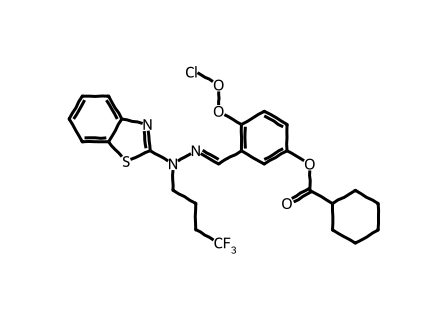 O=C(Oc1ccc(OOCl)c(/C=N/N(CCCC(F)(F)F)c2nc3ccccc3s2)c1)C1CCCCC1